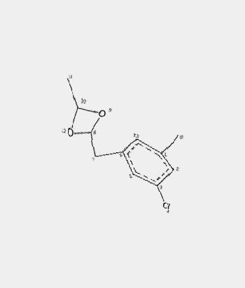 Cc1cc(Cl)cc(CC2OC(C)O2)c1